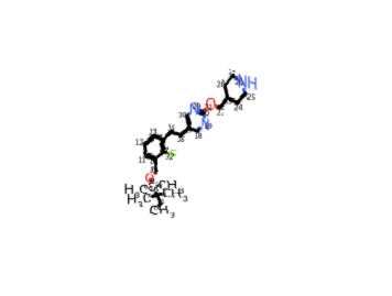 CCC(C)(C)[Si](C)(C)OCc1cccc(CCc2cnc(OCC3CCNCC3)nc2)c1F